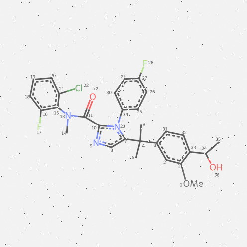 COc1cc(C(C)(C)c2cnc(C(=O)N(C)c3c(F)cccc3Cl)n2-c2ccc(F)cc2)ccc1C(C)O